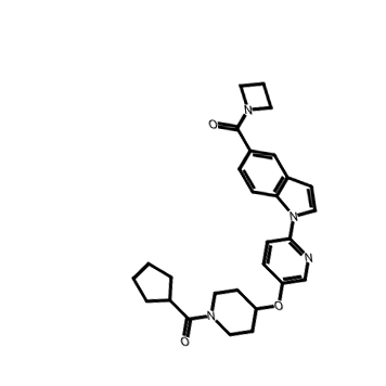 O=C(c1ccc2c(ccn2-c2ccc(OC3CCN(C(=O)C4CCCC4)CC3)cn2)c1)N1CCC1